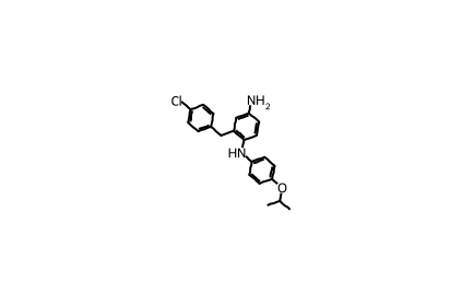 CC(C)Oc1ccc(Nc2ccc(N)cc2Cc2ccc(Cl)cc2)cc1